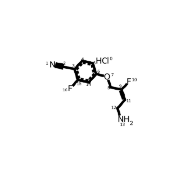 Cl.N#Cc1ccc(OC/C(F)=C\CN)cc1F